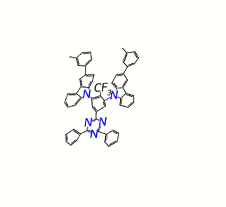 Cc1cccc(-c2ccc3c(c2)c2ccccc2n3-c2cc(-c3nc(-c4ccccc4)nc(-c4ccccc4)n3)cc(-n3c4ccccc4c4cc(-c5cccc(C)c5)ccc43)c2C(F)(F)F)c1